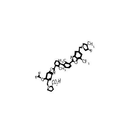 Cc1c(-c2nc3cc(CN4CCC[C@H]4C(=O)O)c(OC(F)F)cc3o2)cccc1-c1cccc(-c2nc3cc(CN4C[C@@H](C)[C@@H](F)C4)cc(C(F)(F)F)c3o2)c1C